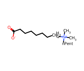 CCCCCCCC(=O)[O-].CCCCC[N+](C)(C)C